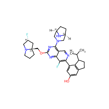 CC(C)C1CCc2cc(O)cc(-c3ncc4c(N5C[C@H]6CC[C@@H](C5)N6)nc(OC[C@@]56CCCN5C[C@H](F)C6)nc4c3F)c21